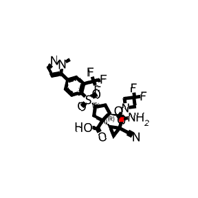 Cn1nccc1-c1ccc(S(=O)(=O)[C@@H]2C[C@@H](C(=O)N3CC(F)(F)C3)[C@](C(=O)O)(C3CC3(C#N)C(N)=O)C2)c(C(F)(F)F)c1